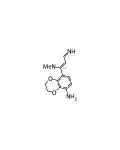 CN/C(=C\C=N)c1ccc(N)c2c1OCCO2